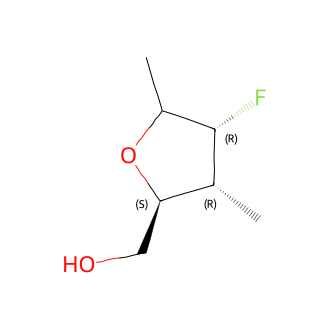 CC1O[C@H](CO)[C@@H](C)[C@H]1F